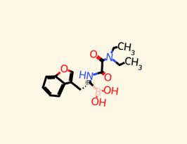 CCN(CC)C(=O)C(=O)N[C@@H](Cc1coc2ccccc12)B(O)O